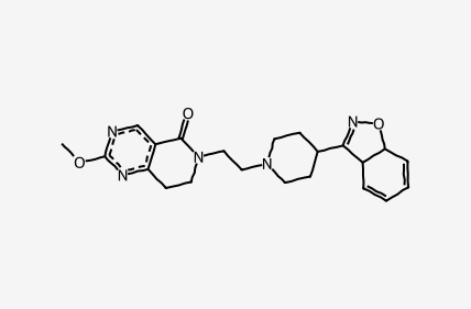 COc1ncc2c(n1)CCN(CCN1CCC(C3=NOC4C=CC=CC34)CC1)C2=O